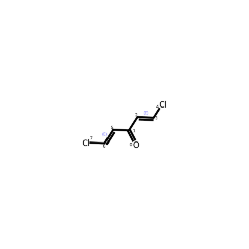 O=C(/C=C/Cl)/C=C/Cl